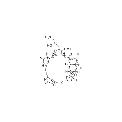 C=C1C[C@@H]2CC[C@@]34C[C@H]5O[C@H]6[C@@H](O3)[C@H]3O[C@H](CC[C@@H]3O[C@H]6C5O4)CC(=O)C[C@@H]3[C@@H](OC)[C@@H](C[C@H](O)CN)O[C@H]3C[C@H]3O[C@@H](CC[C@@H]1O2)C[C@@H](C)C3=C